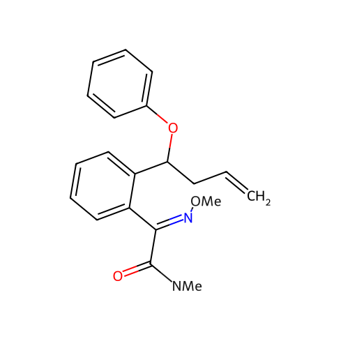 C=CCC(Oc1ccccc1)c1ccccc1/C(=N\OC)C(=O)NC